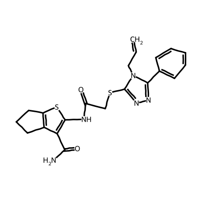 C=CCn1c(SCC(=O)Nc2sc3c(c2C(N)=O)CCC3)nnc1-c1ccccc1